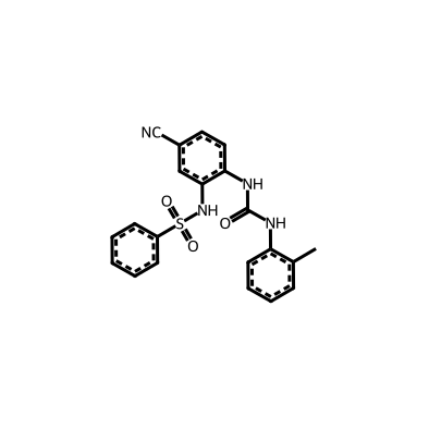 Cc1ccccc1NC(=O)Nc1ccc(C#N)cc1NS(=O)(=O)c1ccccc1